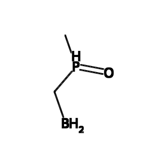 BC[PH](C)=O